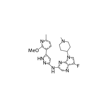 COc1nc(C)ccc1-c1cc(Nc2cnc3c(F)cn(C4CCN(C)CC4)c3n2)n[nH]1